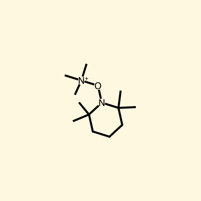 CC1(C)CCCC(C)(C)N1O[N+](C)(C)C